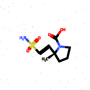 C[C@]1(/C=C/S(N)(=O)=O)CCCN1C(=O)O